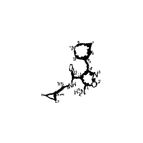 Nc1onc(-c2cccnc2)c1C(=O)NCC1CC1